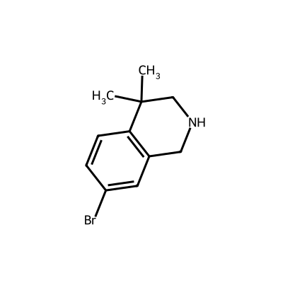 CC1(C)CNCc2cc(Br)ccc21